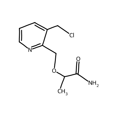 CC(OCc1ncccc1CCl)C(N)=O